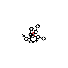 CC(C)(C)c1ccc2c(c1)C13c4cc(ccc4-2)C(C)(C)c2cc(-c4ccccc4)ccc2N(c2ccc(-c4ccccc4)cc2)c2c1c(cc1c2oc2ccccc21)-c1ccccc13